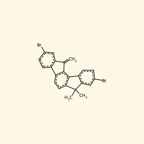 C=C1c2cc(Br)ccc2-c2ccc3c(c21)-c1ccc(Br)cc1C3(C)C